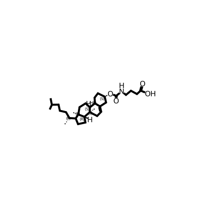 CC(C)CCC[C@@H](C)C1CC[C@H]2[C@]3(C)CC=C4C[C@@H](OC(=O)NCCCC(=O)O)CC[C@]4(C)[C@H]3CC[C@]12C